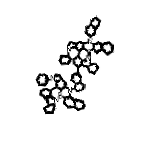 c1ccc(-n2ccc3cc4c5c(c32)-c2cccc3c6ccccc6n(c23)B5c2ccc3ccccc3c2N4c2cccc3cc(-c4ccc5c6c4c4ccccc4n6B4c6cc7ccccc7cc6N(c6ccc7ccccc7c6)c6cc7ccn(-c8ccccc8)c7c-5c64)ccc23)cc1